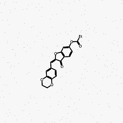 CCC(=O)Oc1ccc2c(c1)OC(=Cc1ccc3c(c1)OCCO3)C2=O